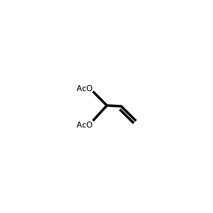 C=C[C](OC(C)=O)OC(C)=O